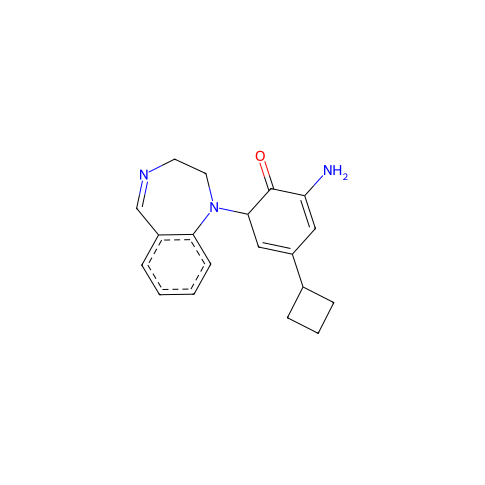 NC1=CC(C2CCC2)=CC(N2CCN=Cc3ccccc32)C1=O